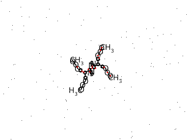 COCCOCCOc1ccc(-c2cc(-c3ccc(OCCOCCOC)cc3)cc(-c3ccc(-c4ccc(-c5cc(-c6ccc(OCCOCCOC)cc6)cc(-c6ccc(OCCOCCOC)cc6)c5)c5nsnc45)c4nsnc34)c2)cc1